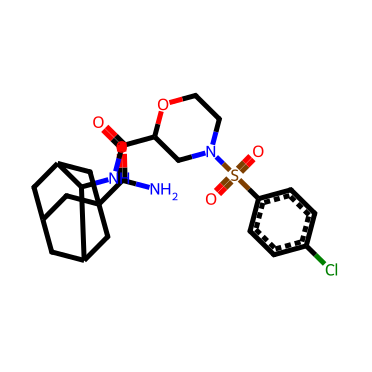 NC(=O)C12CC3CC(C1)C(NC(=O)C1CN(S(=O)(=O)c4ccc(Cl)cc4)CCO1)C(C3)C2